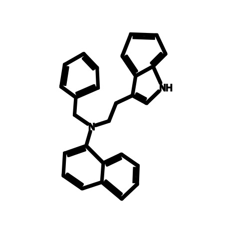 c1ccc(CN(CCc2c[nH]c3ccccc23)c2cccc3ccccc23)cc1